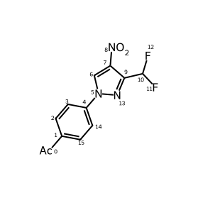 CC(=O)c1ccc(-n2cc([N+](=O)[O-])c(C(F)F)n2)cc1